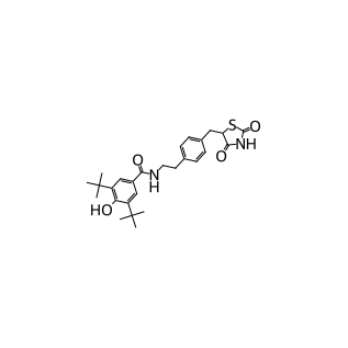 CC(C)(C)c1cc(C(=O)NCCc2ccc(CC3SC(=O)NC3=O)cc2)cc(C(C)(C)C)c1O